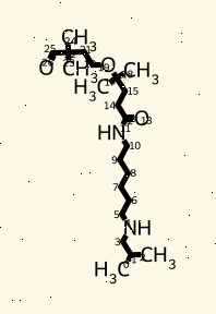 CC(C)CNCCCCCCNC(=O)CCC(C)(C)OCCC(C)(C)C=O